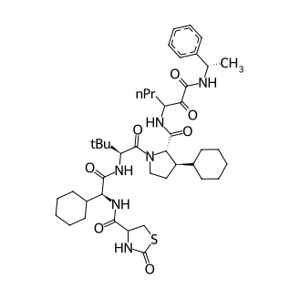 CCCC(NC(=O)[C@@H]1[C@@H](C2CCCCC2)CCN1C(=O)[C@@H](NC(=O)[C@@H](NC(=O)C1CSC(=O)N1)C1CCCCC1)C(C)(C)C)C(=O)C(=O)N[C@@H](C)c1ccccc1